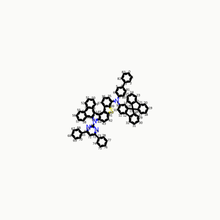 c1ccc(-c2ccc(N(c3ccc4c(c3)C3(c5ccccc5-c5ccccc53)c3ccccc3-4)c3cccc4c3sc3ccc5c(c34)c3c4ccccc4c4ccccc4c3n5-c3nc(-c4ccccc4)cc(-c4ccccc4)n3)cc2)cc1